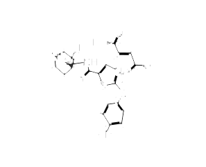 O=C(N[C@H]1CN2CCC1CC2)c1cnc(Sc2ccc(Cl)cc2)s1.O=C(O)C=CC(=O)O